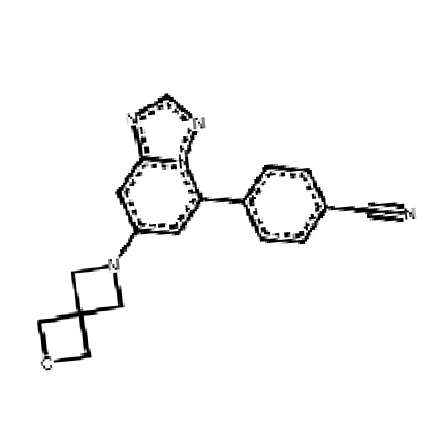 N#Cc1ccc(-c2cc(N3CC4(COC4)C3)cc3ncnn23)cc1